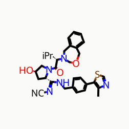 Cc1ncsc1-c1ccc(CN/C(=N/C#N)[C@@H]2C[C@@H](O)CN2C(=O)[C@H](C(C)C)N2COCc3ccccc3C2)cc1